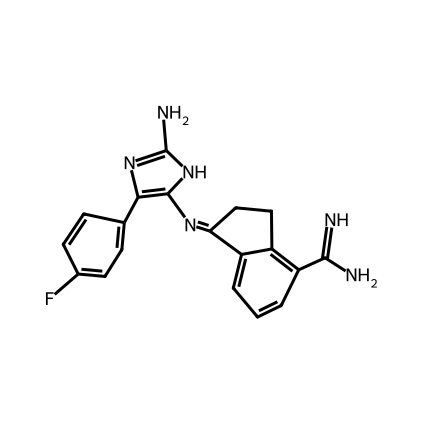 N=C(N)c1cccc2c1CCC2=Nc1[nH]c(N)nc1-c1ccc(F)cc1